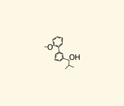 COc1ccccc1-c1cccc(C(O)C(C)C)c1